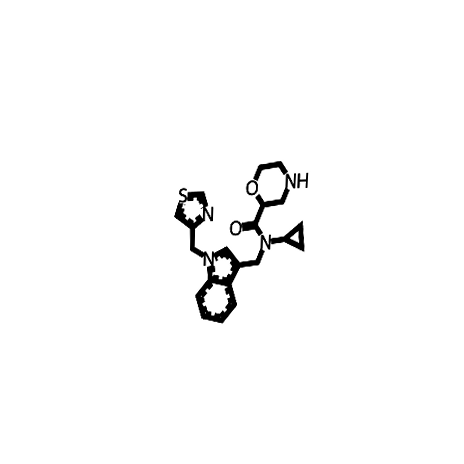 O=C(C1CNCCO1)N(Cc1cn(Cc2cscn2)c2ccccc12)C1CC1